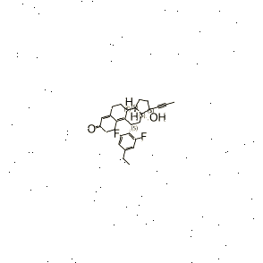 CC#C[C@]1(O)CC[C@H]2[C@@H]3CCC4=CC(=O)CCC4=C3[C@@H](c3c(F)cc(CC)cc3F)C[C@@]21C